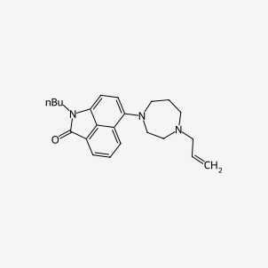 C=CCN1CCCN(c2ccc3c4c(cccc24)C(=O)N3CCCC)CC1